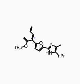 C=C/C=C(\C(=C)OC(C)(C)C)c1ccc(-c2nc(C)c(CCC)[nH]2)o1